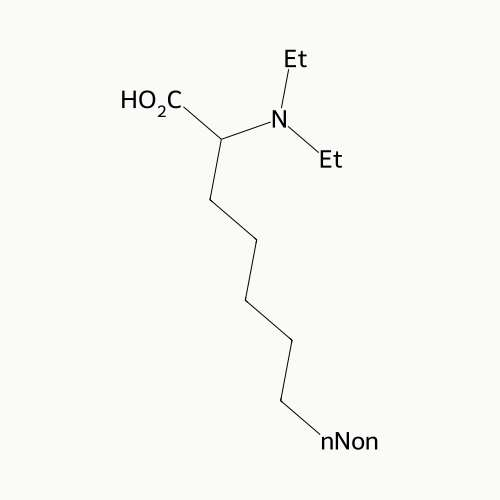 CCCCCCCCCCCCCCC(C(=O)O)N(CC)CC